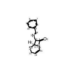 O=C1C(N=Cc2ccccc2)[C@@H]2SCC=CN12